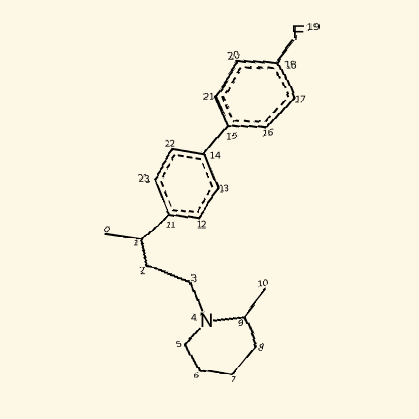 CC(CCN1CCCCC1C)c1ccc(-c2ccc(F)cc2)cc1